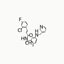 CC(NC(=O)C=Cc1ccc(F)cc1Cl)c1cccc(NCc2cccnc2)c1